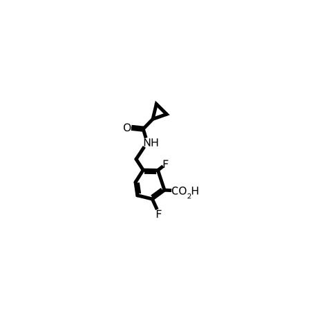 O=C(O)c1c(F)ccc(CNC(=O)C2CC2)c1F